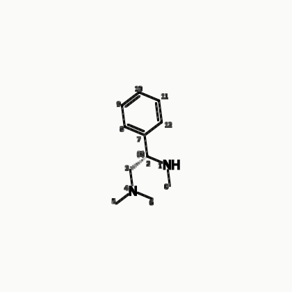 CN[C@H](CN(C)C)c1ccccc1